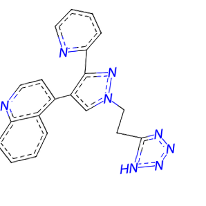 c1ccc(-c2nn(CCc3nnn[nH]3)cc2-c2ccnc3ccccc23)nc1